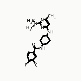 Cc1cc(NC2CCC(NC(=O)c3ccc(F)c(Cl)c3)CC2)nc(N(C)C)n1